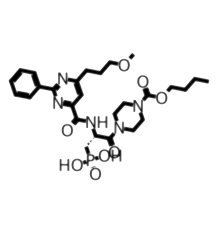 CCCCOC(=O)N1CCN(C(=O)[C@H](CP(=O)(O)O)NC(=O)c2cc(CCCOC)nc(-c3ccccc3)n2)CC1